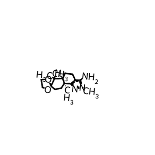 Cn1nc2c(c1N)CC[C@H]1C(C)(C)C3(CC[C@]21C)OCCO3